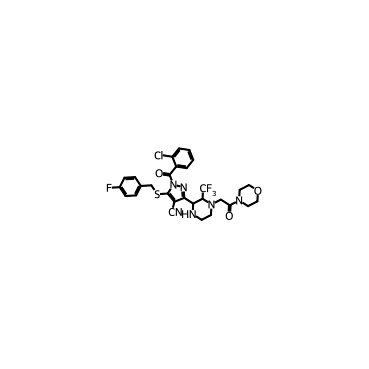 N#Cc1c(C2NCCN(CC(=O)N3CCOCC3)C2C(F)(F)F)nn(C(=O)c2ccccc2Cl)c1SCc1ccc(F)cc1